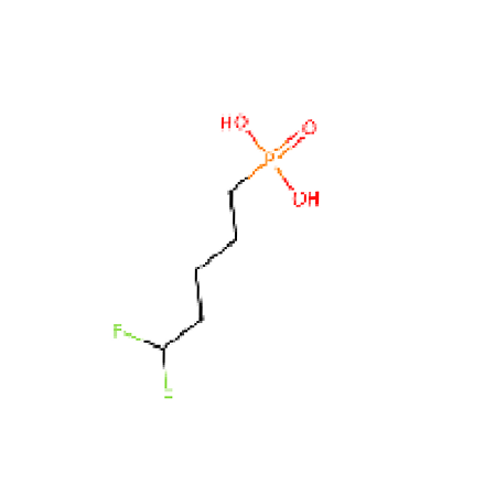 O=P(O)(O)CCCCC(F)F